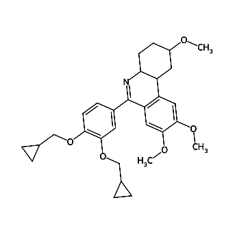 COc1cc2c(cc1OC)C1CC(OC)CCC1N=C2c1ccc(OCC2CC2)c(OCC2CC2)c1